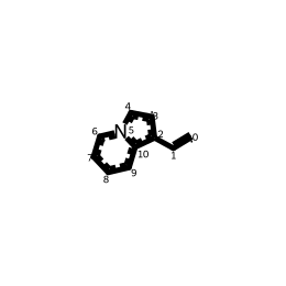 [CH]=Cc1[c]cn2ccccc12